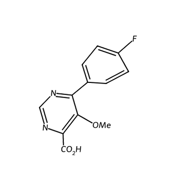 COc1c(C(=O)O)ncnc1-c1ccc(F)cc1